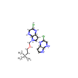 Brc1c[nH]c2nccc-2n1.C[Si](C)(C)CCOCn1ccc2nc(Br)cnc21